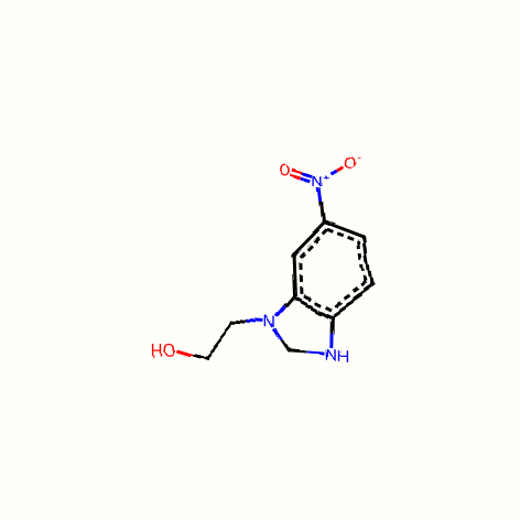 O=[N+]([O-])c1ccc2c(c1)N(CCO)CN2